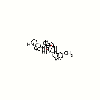 Cc1cncc(N[C@H](CC2CC2)C(=O)N2[C@H]3CC[C@@H]([C@H]2C(=O)N[C@H](C#N)C[C@H]2CCCNC2=O)C(F)(F)C3)c1